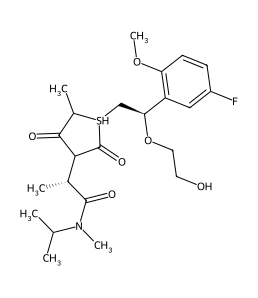 COc1ccc(F)cc1[C@H](C[SH]1C(=O)C([C@@H](C)C(=O)N(C)C(C)C)C(=O)C1C)OCCO